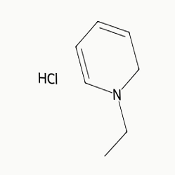 CCN1C=CC=CC1.Cl